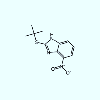 CC(C)(C)Sc1nc2c([N+](=O)[O-])cccc2[nH]1